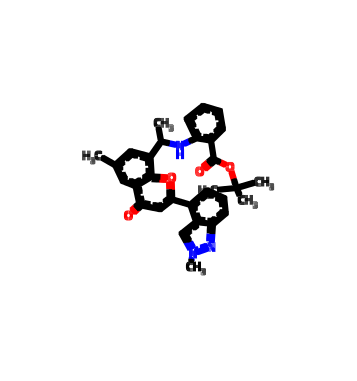 Cc1cc(C(C)Nc2ccccc2C(=O)OC(C)(C)C)c2oc(-c3cccc4nn(C)cc34)cc(=O)c2c1